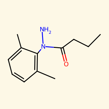 CCCC(=O)N(N)c1c(C)cccc1C